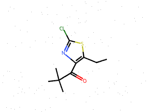 CCc1sc(Cl)nc1C(=O)C(C)(C)C